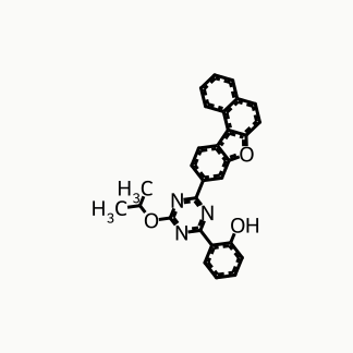 CC(C)Oc1nc(-c2ccc3c(c2)oc2ccc4ccccc4c23)nc(-c2ccccc2O)n1